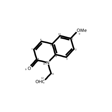 COc1ccc2c(ccc(=O)n2CC=O)c1